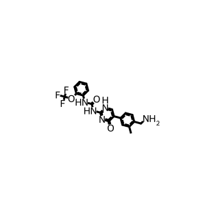 Cc1cc(-c2c[nH]c(NC(=O)Nc3ccccc3OC(F)(F)F)nc2=O)ccc1CN